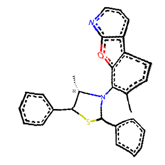 Cc1ccc2c(oc3ncccc32)c1N1C(c2ccccc2)SC(c2ccccc2)[C@@H]1C